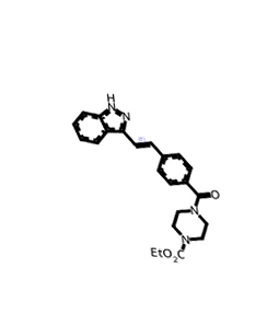 CCOC(=O)N1CCN(C(=O)c2ccc(/C=C/c3n[nH]c4ccccc34)cc2)CC1